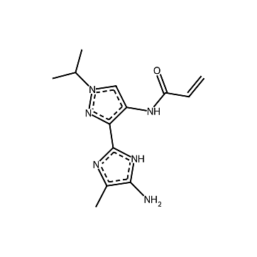 C=CC(=O)Nc1cn(C(C)C)nc1-c1nc(C)c(N)[nH]1